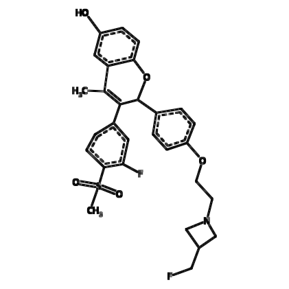 CC1=C(c2ccc(S(C)(=O)=O)c(F)c2)C(c2ccc(OCCN3CC(CF)C3)cc2)Oc2ccc(O)cc21